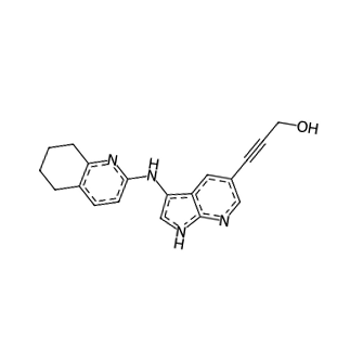 OCC#Cc1cnc2[nH]cc(Nc3ccc4c(n3)CCCC4)c2c1